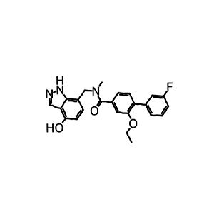 CCOc1cc(C(=O)N(C)Cc2ccc(O)c3cn[nH]c23)ccc1-c1cccc(F)c1